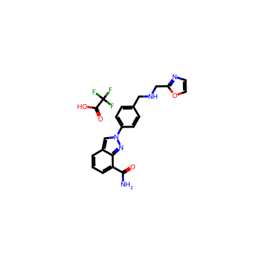 NC(=O)c1cccc2cn(-c3ccc(CNCc4ncco4)cc3)nc12.O=C(O)C(F)(F)F